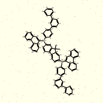 CC1(C)c2cc(N(c3ccc(-c4cccc(-c5ccccc5)c4)cc3)c3cc4ccccc4c4ccccc34)ccc2-c2ccc(N(c3ccc(-c4cccc(-c5ccccc5)c4)cc3)c3cc4ccccc4c4ccccc34)cc21